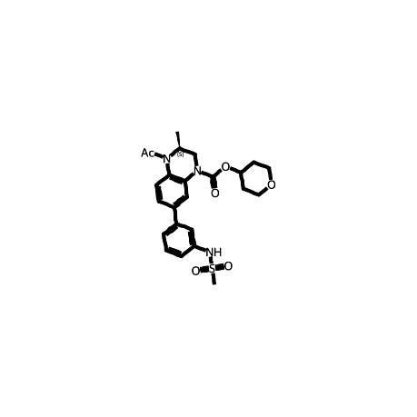 CC(=O)N1c2ccc(-c3cccc(NS(C)(=O)=O)c3)cc2N(C(=O)OC2CCOCC2)C[C@@H]1C